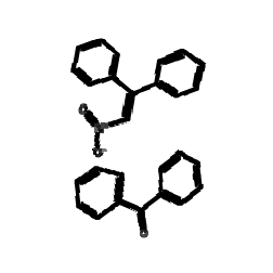 O=C(c1ccccc1)c1ccccc1.O=[N+]([O-])C=C(c1ccccc1)c1ccccc1